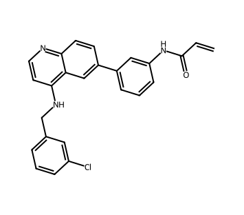 C=CC(=O)Nc1cccc(-c2ccc3nccc(NCc4cccc(Cl)c4)c3c2)c1